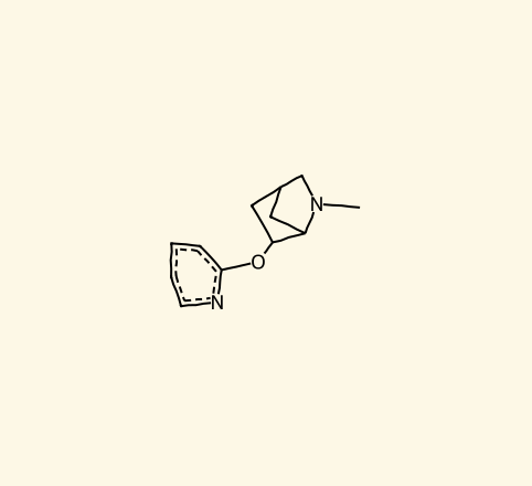 CN1CC2CC(Oc3ccccn3)C1C2